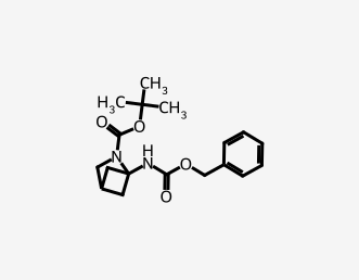 CC(C)(C)OC(=O)N1CC2CC1(NC(=O)OCc1ccccc1)C2